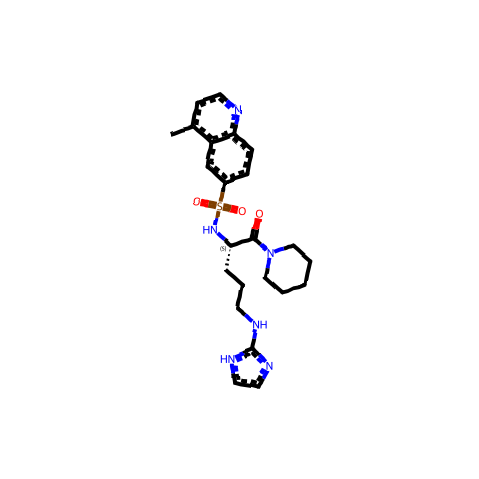 Cc1ccnc2ccc(S(=O)(=O)N[C@@H](CCCNc3ncc[nH]3)C(=O)N3CCCCC3)cc12